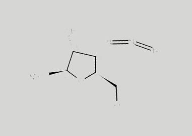 CO[C@@H]1O[C@H](CO)[C@@H](N=[N+]=[N-])[C@H]1O